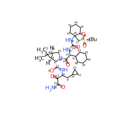 CC1(C)[C@@H]2[C@@H](C(=O)NC(CC3CC3)C(=O)C(N)=O)N(C(=O)[C@@H](NC(=O)NC3(CS(=O)(=O)C(C)(C)C)CCCCC3)C3CCCCC3)C[C@@H]21